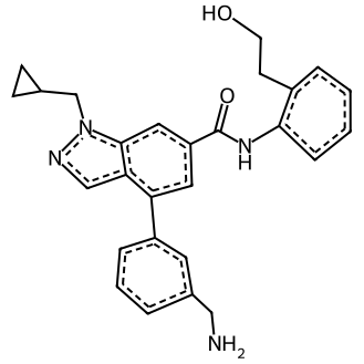 NCc1cccc(-c2cc(C(=O)Nc3ccccc3CCO)cc3c2cnn3CC2CC2)c1